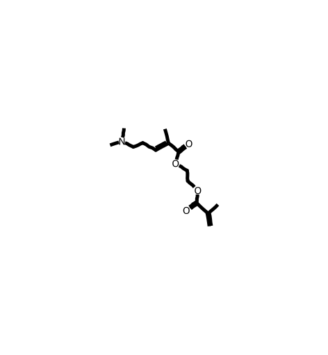 C=C(C)C(=O)OCCOC(=O)C(C)=CCCN(C)C